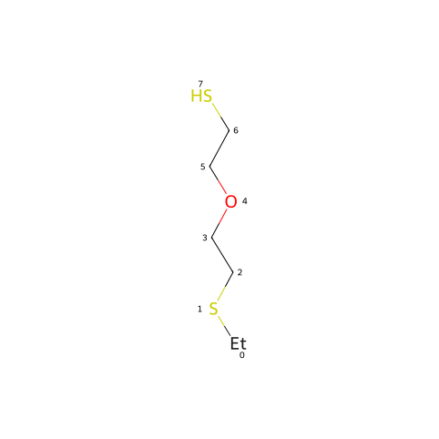 CCSCCOCCS